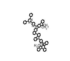 CC1(C)c2ccccc2-c2cc3c(cc21)c1cc2c(-c4cccc5c4c4ccccc4n5-c4ccc(-n5c6ccccc6c6c7ccccc7c7c(c65)C(C)(C)c5ccccc5-7)cc4)cccc2cc1n3-c1ccc(-c2nc(-c3ccccc3)cc(-c3ccccc3)n2)cn1